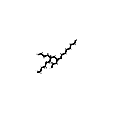 CCCCCCCCC(CCC)CC(CCCC)CCCCCC